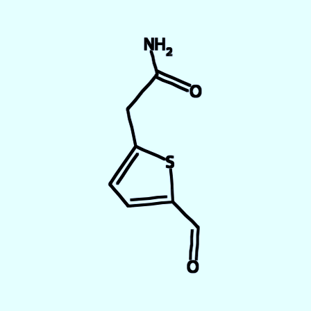 NC(=O)Cc1ccc(C=O)s1